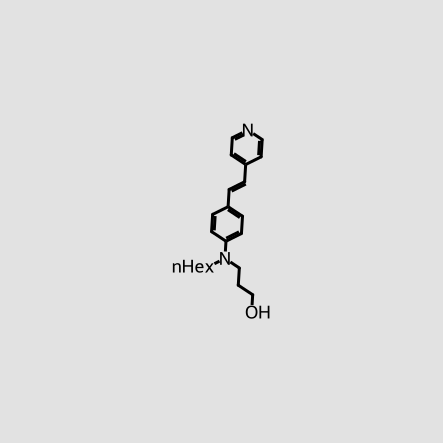 CCCCCCN(CCCO)c1ccc(C=Cc2ccncc2)cc1